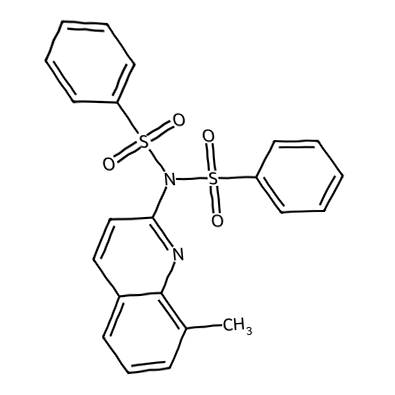 Cc1cccc2ccc(N(S(=O)(=O)c3ccccc3)S(=O)(=O)c3ccccc3)nc12